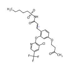 CCCCCS(=O)(=O)NC(=O)/C=C/c1ccc(OCCC(C)=O)cc1Oc1ncc(C(F)(F)F)cc1Cl